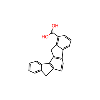 OB(O)c1cccc2c1Cc1c-2ccc2c1-c1ccccc1C2